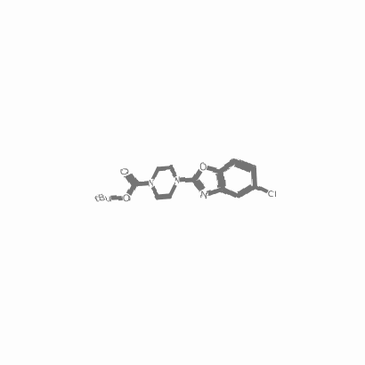 CC(C)(C)OC(=O)N1CCN(c2nc3cc(Cl)ccc3o2)CC1